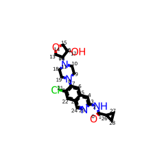 O=C(Nc1cc2cc(N3CCN([C@@H]4COC[C@@H]4O)CC3)c(Cl)cc2cn1)C1CC1